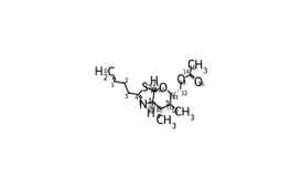 C=CCCC1=N[C@@H]2[C@@H](C)[C@H](C)[C@@H](COC(C)=O)O[C@@H]2S1